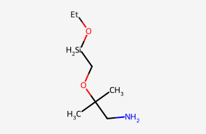 CCO[SiH2]COC(C)(C)CN